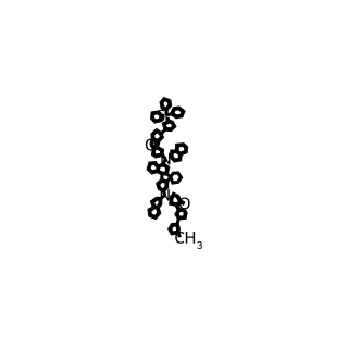 Cc1cccc(-c2ccc3oc4ccc(N(c5ccc6c(c5)C5(CCCCC5)c5cc(N(c7ccc8ccccc8c7)c7ccc8oc9ccc(-c%10cccc([Si](c%11ccccc%11)(c%11ccccc%11)c%11ccccc%11)c%10)cc9c8c7)c7ccccc7c5-6)c5ccc6ccccc6c5)cc4c3c2)c1